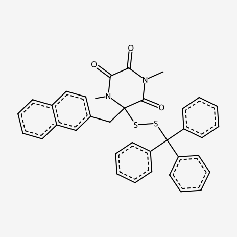 CN1C(=O)C(=O)N(C)C(Cc2ccc3ccccc3c2)(SSC(c2ccccc2)(c2ccccc2)c2ccccc2)C1=O